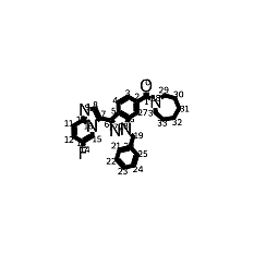 O=C(c1ccc2c(-c3cnc4ccc(F)cn34)nn(Cc3ccccc3)c2c1)N1CCCCCC1